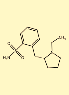 CCN1CCC[C@@H]1Cc1ccccc1S(N)(=O)=O